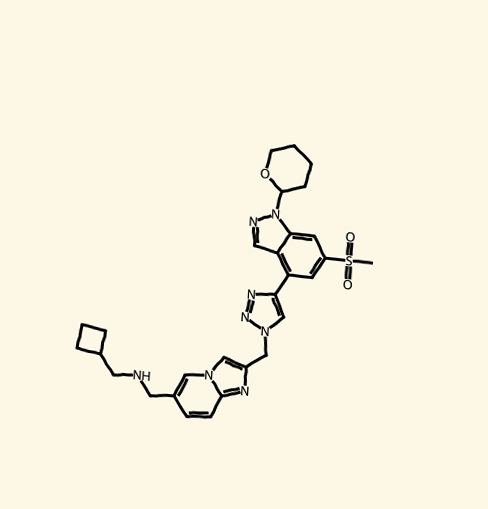 CS(=O)(=O)c1cc(-c2cn(Cc3cn4cc(CNCC5CCC5)ccc4n3)nn2)c2cnn(C3CCCCO3)c2c1